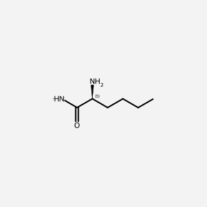 CCCC[C@H](N)C([NH])=O